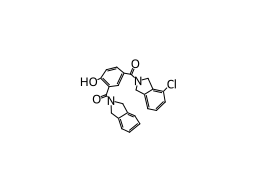 O=C(c1ccc(O)c(C(=O)N2Cc3ccccc3C2)c1)N1Cc2cccc(Cl)c2C1